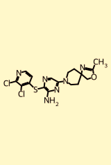 CC1=NC2(CCN(c3cnc(Sc4ccnc(Cl)c4Cl)c(N)n3)CC2)CO1